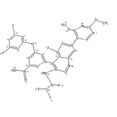 COc1ncc(-c2cc(F)c3c(-c4cc(Oc5cc(F)cc(F)c5)cc(C(=O)O)c4)c(NC(F)C(F)F)cnc3c2)c(OC)n1